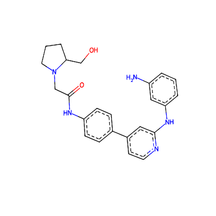 Nc1cccc(Nc2cc(-c3ccc(NC(=O)CN4CCCC4CO)cc3)ccn2)c1